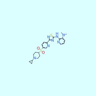 CN(C)c1cccnc1Nc1nc(-c2ccc(S(=O)(=O)C3CCN(C4CC4)CC3)cn2)ns1